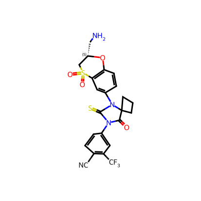 N#Cc1ccc(N2C(=O)C3(CCC3)N(c3ccc4c(c3)S(=O)(=O)C[C@H](CN)O4)C2=S)cc1C(F)(F)F